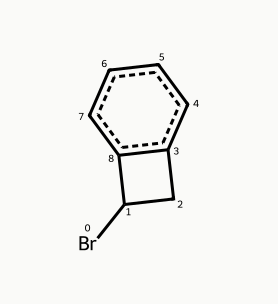 BrC1Cc2ccccc21